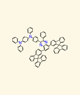 c1ccc(-c2nc3c(-c4ccc5c(c4)C4(c6ccccc6-c6ccccc64)c4ccccc4-5)ccc(-c4ccc5c(c4)C4(c6ccccc6-c6ccccc64)c4ccccc4-5)c3nc2-c2ccc(N(c3ccccc3)c3ccc(N(c4ccccc4)c4ccccc4)cc3)cc2)cc1